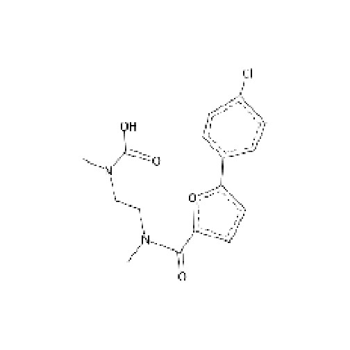 CN(CCN(C)C(=O)c1ccc(-c2ccc(Cl)cc2)o1)C(=O)O